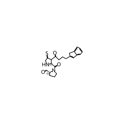 O=C[C@@H]1CCCN1C(=O)[C@H]1NCC(=S)C1C(=O)CCCC1=Cc2ccccc2C1